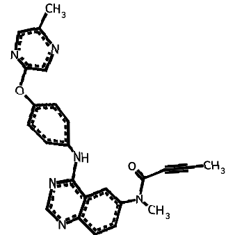 CC#CC(=O)N(C)c1ccc2ncnc(Nc3ccc(Oc4cnc(C)cn4)cc3)c2c1